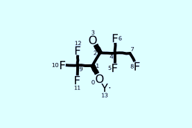 O=C(C(=O)C(F)(F)CF)C(F)(F)F.[Y]